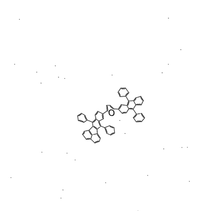 c1ccc(-c2c3c(c(-c4ccccc4)c4cc(-c5ccc(-c6ccc7c(-c8ccccc8)c8ccccc8c(-c8ccccc8)c7c6)o5)ccc24)-c2cccc4cccc-3c24)cc1